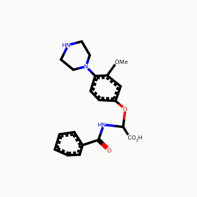 COc1cc(OC(NC(=O)c2ccccc2)C(=O)O)ccc1N1CCNCC1